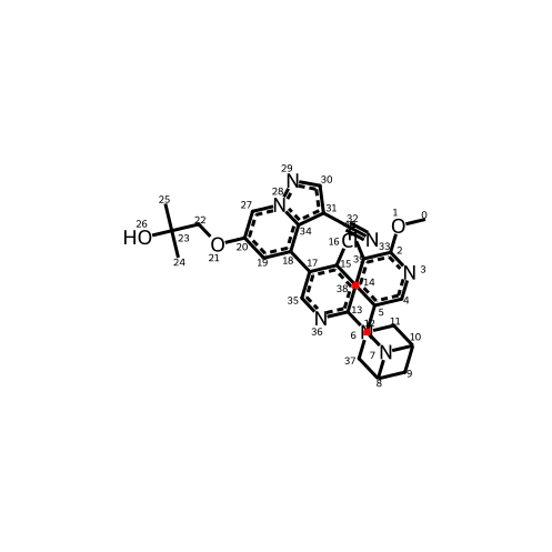 COc1ncc(CN2C3CC2CN(c2cc(Cl)c(-c4cc(OCC(C)(C)O)cn5ncc(C#N)c45)cn2)C3)cc1F